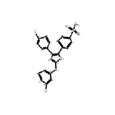 NS(=O)(=O)c1ccc(-c2sc(Sc3cccc(Cl)c3)nc2-c2ccc(F)cc2)cc1